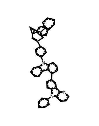 C1=C(c2ccc(-n3c4ccccc4c4c(-c5ccc6c(c5)c5ncccc5n6-c5ccccc5)cccc43)cc2)C=C(c2ccccc2)C2=CC12c1ccccc1